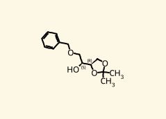 CC1(C)OC[C@H]([C@@H](O)COCc2ccccc2)O1